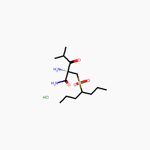 CCCC(CCC)S(=O)(=O)C[C@@](N)(C(N)=O)C(=O)C(C)C.Cl